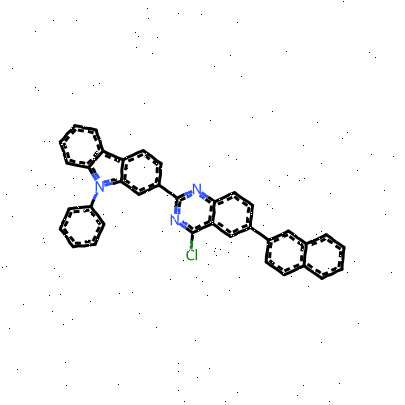 Clc1nc(-c2ccc3c4ccccc4n(-c4ccccc4)c3c2)nc2ccc(-c3ccc4ccccc4c3)cc12